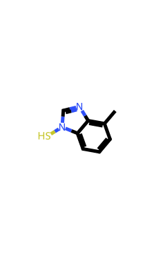 Cc1cccc2c1ncn2S